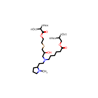 CCCCCCCCC(CCCCCC)COC(=O)CCCCCN(CCC1CCCN1C)CC(O)CSCCOC(=O)C(CCCCCC)CCCCCCCC